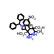 CC(C)C1(C(=O)O)C(C)NC(N)C(C(=O)O)(C2CN(C(c3ccccc3)c3ccccc3)C2)C1c1cccc([N+](=O)[O-])c1